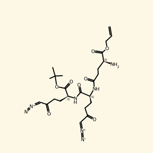 C=CCOC(=O)[C@@H](N)CCC(=O)N[C@@H](CCC(=O)C=[N+]=[N-])C(=O)N[C@@H](CCC(=O)C=[N+]=[N-])C(=O)OC(C)(C)C